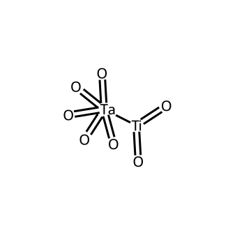 [O]=[Ti](=[O])[Ta](=[O])(=[O])(=[O])(=[O])=[O]